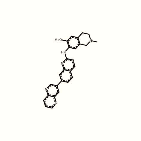 COc1cc2c(cc1Nc1ncc3ccc(-c4cnc5cccnc5c4)cc3n1)CN(C)CC2